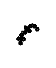 c1ccc(-c2ccc3sc4ccc(-c5c6ccccc6c(-c6ccc7c(c6)oc6ccc(-c8c9ccccc9c(-c9ccccc9)c9ccccc89)cc67)c6ccccc56)cc4c3c2)cc1